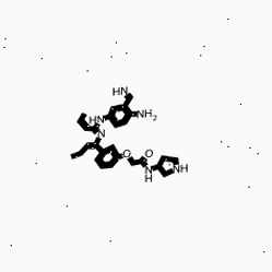 C\C=C/C(=N\C(=C\CC)c1cccc(OCC(=O)NC2CCNC2)c1)Nc1ccc(N)c(C=N)c1